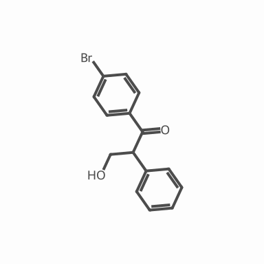 O=C(c1ccc(Br)cc1)C(CO)c1ccccc1